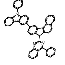 c1ccc(-c2nc(C3c4ccc(-c5ccc6c(c5)c5ccccc5n6-c5ccccc5)cc4-c4c3ccc3ccccc43)nc3ccccc23)cc1